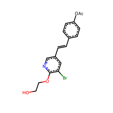 CC(=O)Oc1ccc(C=Cc2cnc(OCCO)c(Br)c2)cc1